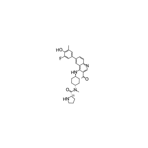 CC(=O)c1cnc2ccc(-c3cc(C)c(O)c(F)c3)cc2c1N[C@H]1CC[C@H](N(C)C(=O)[C@@H]2CCCN2)CC1